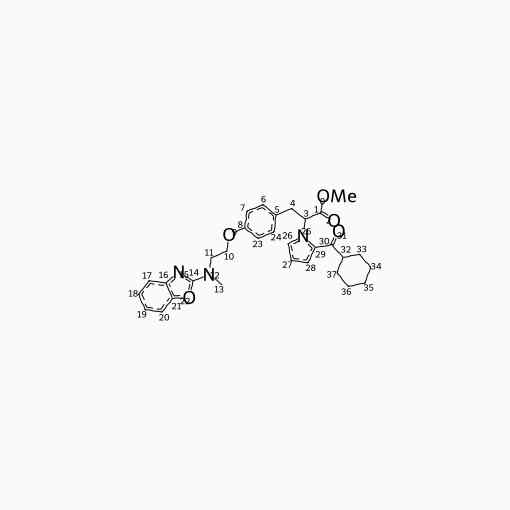 COC(=O)C(Cc1ccc(OCCN(C)c2nc3ccccc3o2)cc1)n1cccc1C(=O)C1CCCCC1